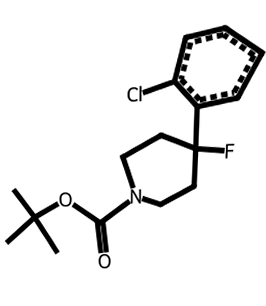 CC(C)(C)OC(=O)N1CCC(F)(c2ccccc2Cl)CC1